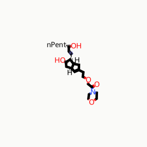 CCCCC[C@H](O)/C=C/[C@@H]1[C@H]2CC(CCOCC(=O)N3CCOCC3)=C[C@H]2C[C@H]1O